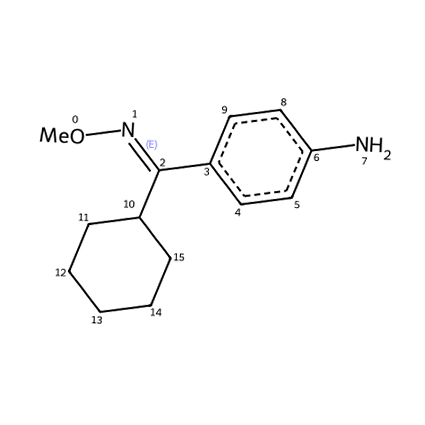 CO/N=C(/c1ccc(N)cc1)C1CCCCC1